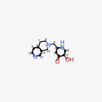 O=c1cc(CN2CCc3ccncc3C2)[nH]cc1O